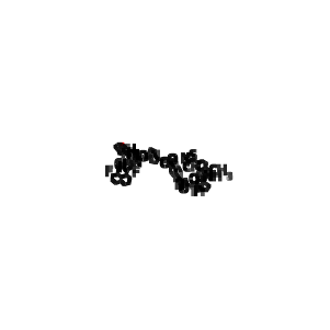 C#Cc1c(F)ccc2cccc(-c3ncc4c(N5CC6CCC(C5)N6)nc(OCC56CCCN5C(COC(=O)N5CCN(c7cc(C(C(=O)N8CCCC8C(=O)NC(C)c8ccc(-c9scnc9C)cc8)C(C)C)on7)CC5)CC6)nc4c3F)c12